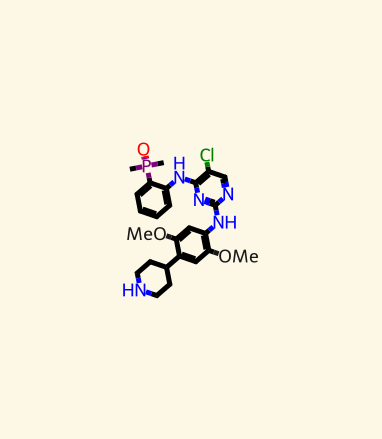 COc1cc(C2CCNCC2)c(OC)cc1Nc1ncc(Cl)c(Nc2ccccc2P(C)(C)=O)n1